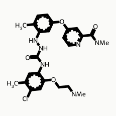 CNCCOc1cc(Cl)c(C)cc1NC(=O)NNc1cc(Oc2ccnc(C(=O)NC)c2)ccc1C